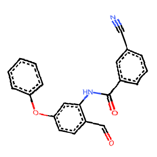 N#Cc1cccc(C(=O)Nc2cc(Oc3ccccc3)ccc2C=O)c1